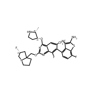 C[C@H]1NCC[C@H]1Oc1nc(OCC23CCCN2C[C@H](F)C3)nc2c(F)c(-c3ccc(F)c4sc(N)c(C#N)c34)c(C(F)(F)F)cc12